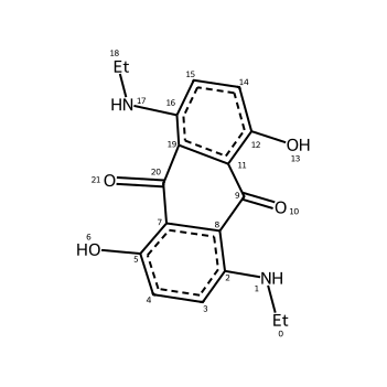 CCNc1ccc(O)c2c1C(=O)c1c(O)ccc(NCC)c1C2=O